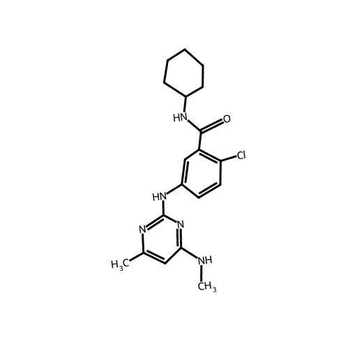 CNc1cc(C)nc(Nc2ccc(Cl)c(C(=O)NC3CCCCC3)c2)n1